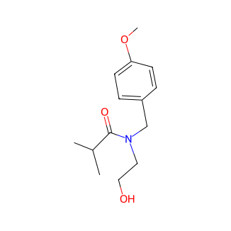 COc1ccc(CN(CCO)C(=O)C(C)C)cc1